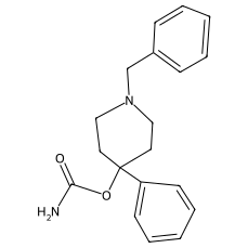 NC(=O)OC1(c2ccccc2)CCN(Cc2ccccc2)CC1